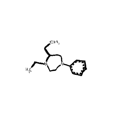 CCC1CN(c2ccccc2)CCN1CC